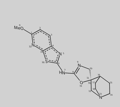 COc1ccc2nc(NC3=NC[C@]4(CN5CCC4CC5)O3)sc2n1